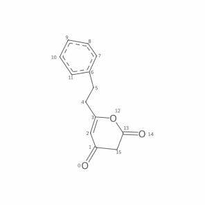 O=C1C=C(CCc2ccccc2)OC(=O)C1